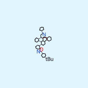 CC(C)(C)c1ccc(-c2nc3cccc(-c4ccc5ccccc5c4-c4ccccc4-c4cc(-c5ccccc5)nc(-c5ccccc5)c4)c3o2)cc1